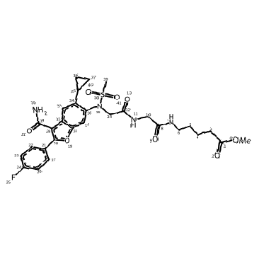 COC(=O)CCCCNC(=O)CNC(=O)CN(c1cc2oc(-c3ccc(F)cc3)c(C(N)=O)c2cc1C1CC1)S(C)(=O)=O